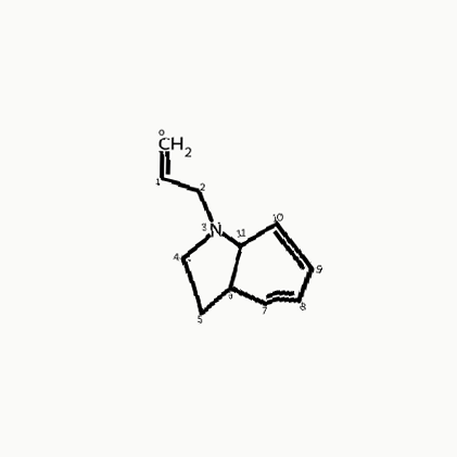 C=CCN1[C]CC2C=CC=CC21